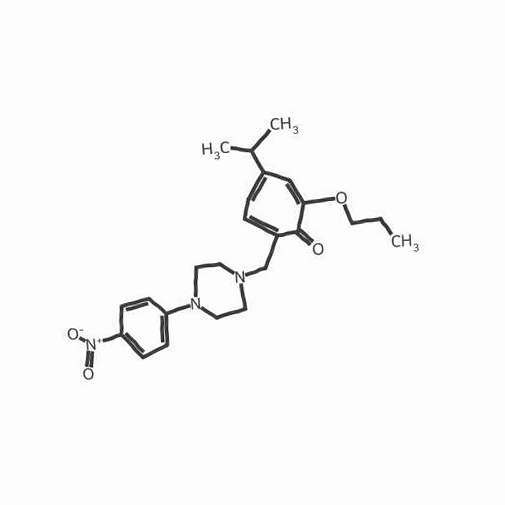 CCCOc1cc(C(C)C)ccc(CN2CCN(c3ccc([N+](=O)[O-])cc3)CC2)c1=O